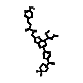 C=N/N=C(\OC)c1cc(-c2ccc(C(=O)N3CCC(F)(F)CC3)cn2)cc2cc(CNC(=O)CCc3ccc(N)nc3)oc12